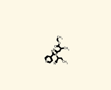 CCOC(=O)C(C)Cc1nnc(-c2ccncc2)n1C(C#N)CC